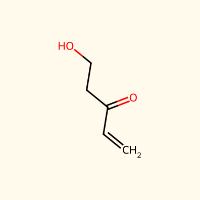 C=CC(=O)CCO